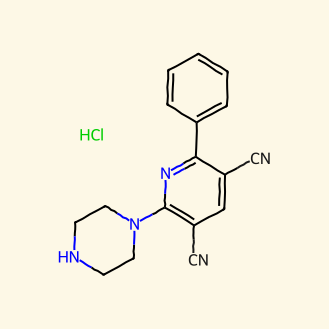 Cl.N#Cc1cc(C#N)c(N2CCNCC2)nc1-c1ccccc1